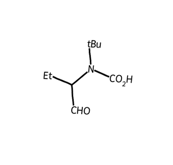 CCC(C=O)N(C(=O)O)C(C)(C)C